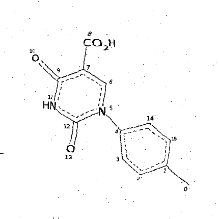 Cc1ccc(-n2cc(C(=O)O)c(=O)[nH]c2=O)cc1